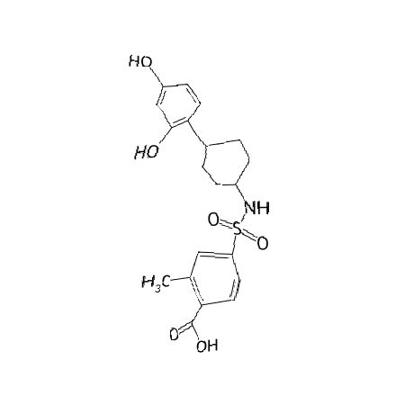 Cc1cc(S(=O)(=O)NC2CCC(c3ccc(O)cc3O)CC2)ccc1C(=O)O